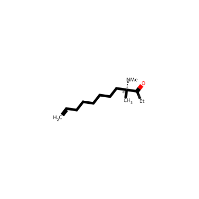 C=CCCCCCC[C@@](C)(NC)C(=O)CC